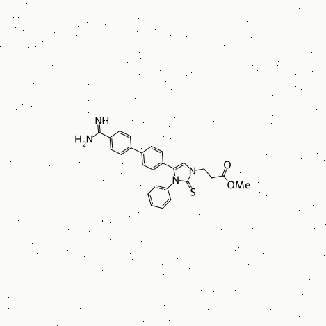 COC(=O)CCn1cc(-c2ccc(-c3ccc(C(=N)N)cc3)cc2)n(-c2ccccc2)c1=S